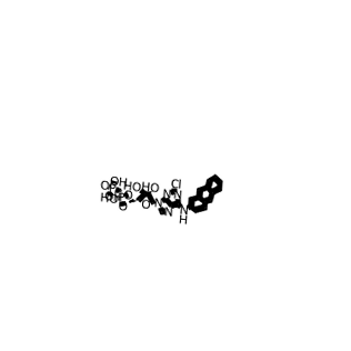 O=P(O)(O)CP(=O)(O)OC[C@H]1O[C@@H](n2cnc3c(Nc4ccc5cc6ccccc6cc5c4)nc(Cl)nc32)[C@@H](O)C1O